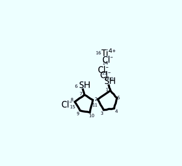 SC1CCCC1.SC1CCCC1.[Cl-].[Cl-].[Cl-].[Cl-].[Ti+4]